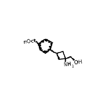 CCCCCCCCc1ccc(C2CC(N)(CO)C2)cc1